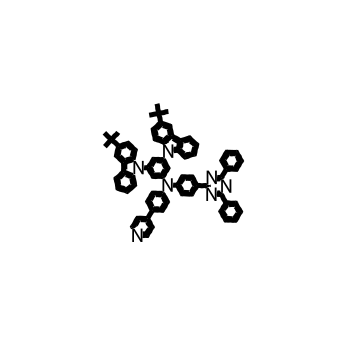 CC(C)(C)c1ccc2c(c1)c1ccccc1n2-c1cc(N(c2ccc(-c3ccncc3)cc2)c2ccc(-c3nc(-c4ccccc4)nc(-c4ccccc4)n3)cc2)cc(-n2c3ccccc3c3cc(C(C)(C)C)ccc32)c1